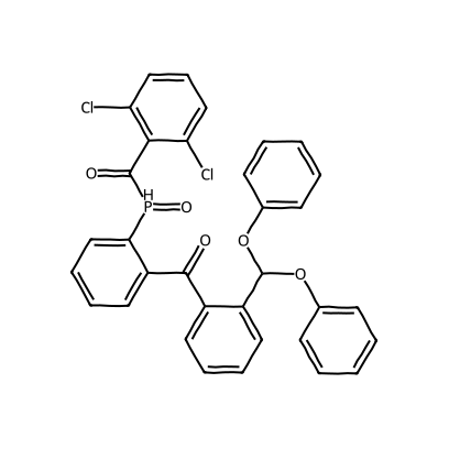 O=C(c1ccccc1C(Oc1ccccc1)Oc1ccccc1)c1ccccc1[PH](=O)C(=O)c1c(Cl)cccc1Cl